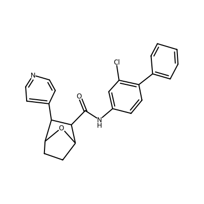 O=C(Nc1ccc(-c2ccccc2)c(Cl)c1)C1C2CCC(O2)C1c1ccncc1